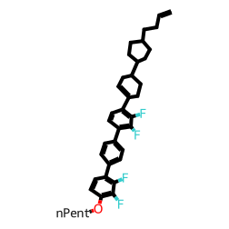 C=CCCC1CCC(C2CC=C(c3ccc(-c4ccc(-c5ccc(OCCCCC)c(F)c5F)cc4)c(F)c3F)CC2)CC1